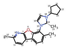 Cc1ccc2c(oc3nc(C(C)C)ccc32)c1N1C=CN(C2CCCC2)[C@@H]1C